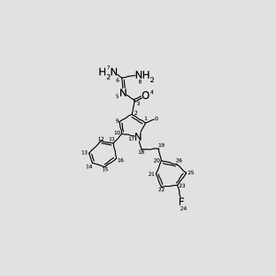 Cc1c(C(=O)N=C(N)N)cc(-c2ccccc2)n1CCc1ccc(F)cc1